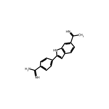 CC(=N)c1ccc2cc(-c3ccc(C(=N)N)cc3)[nH]c2c1